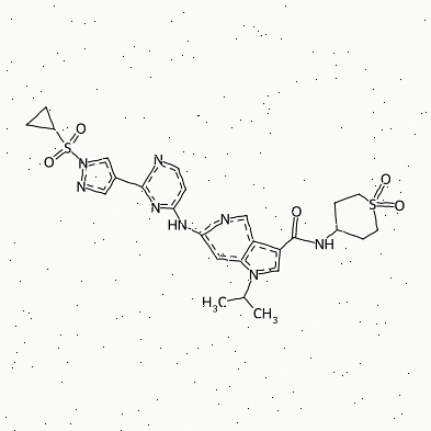 CC(C)n1cc(C(=O)NC2CCS(=O)(=O)CC2)c2cnc(Nc3ccnc(-c4cnn(S(=O)(=O)C5CC5)c4)n3)cc21